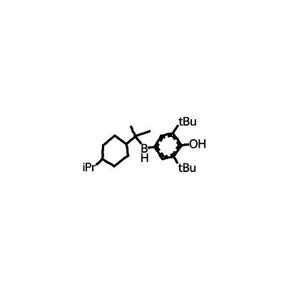 CC(C)C1CCC(C(C)(C)Bc2cc(C(C)(C)C)c(O)c(C(C)(C)C)c2)CC1